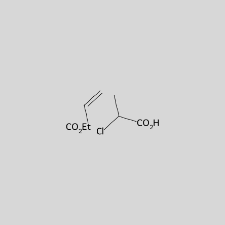 C=CC(=O)OCC.CC(Cl)C(=O)O